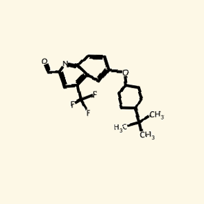 CC(C)(C)C1CCC(Oc2ccc3nc(C=O)cc(C(F)(F)F)c3c2)CC1